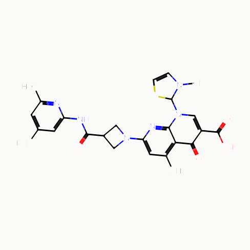 Cc1cc(C)nc(NC(=O)C2CN(c3cc(C)c4c(=O)c(C(=O)O)cn(C5SC=CN5C)c4n3)C2)c1